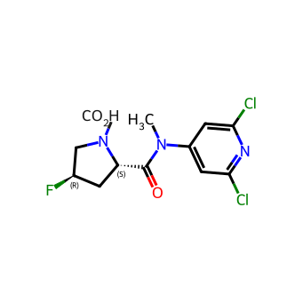 CN(C(=O)[C@@H]1C[C@@H](F)CN1C(=O)O)c1cc(Cl)nc(Cl)c1